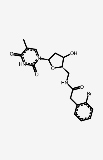 Cc1cn([C@H]2CC(O)[C@@H](CNC(=O)Cc3ccccc3Br)O2)c(=O)[nH]c1=O